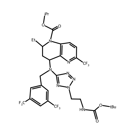 CCC1CC(N(Cc2cc(C(F)(F)F)cc(C(F)(F)F)c2)c2nnn(CCNC(=O)OC(C)(C)C)n2)c2nc(C(F)(F)F)ccc2N1C(=O)OC(C)C